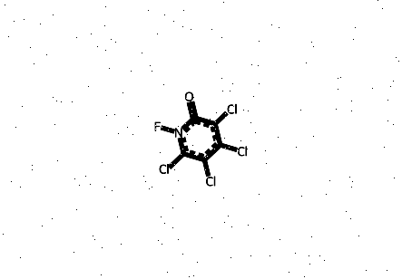 O=c1c(Cl)c(Cl)c(Cl)c(Cl)n1F